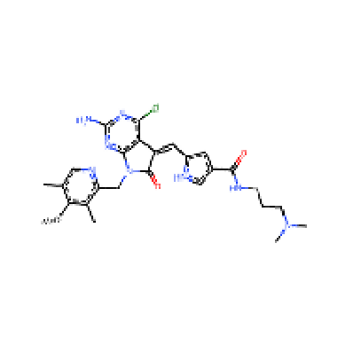 COc1c(C)cnc(CN2C(=O)C(=Cc3cc(C(=O)NCCCN(C)C)c[nH]3)c3c(Cl)nc(N)nc32)c1C